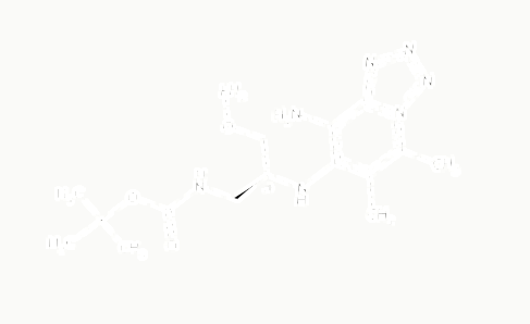 Cc1c(N[C@@H](CNC(=O)OC(C)(C)C)COP)c(N)c2nnnn2c1C